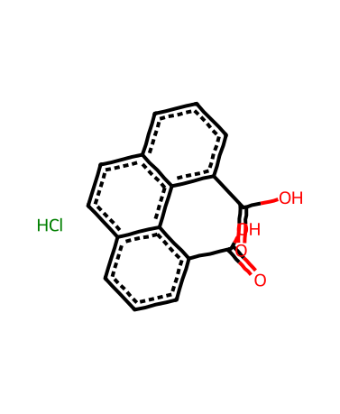 Cl.O=C(O)c1cccc2ccc3cccc(C(=O)O)c3c12